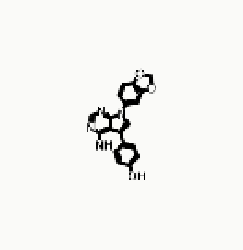 Nc1ncnc2c1c(-c1ccc(O)cc1)cn2-c1ccc2c(c1)OCO2